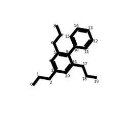 CCCc1cc(CCC)c(-c2[c]cccc2)c(CCC)c1